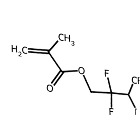 C=C(C)C(=O)OCC(F)(F)C(F)C(F)(F)F